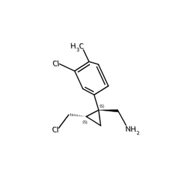 Cc1ccc([C@]2(CN)C[C@@H]2CCl)cc1Cl